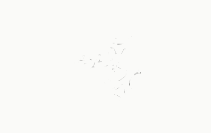 COc1ccc(C2(CC(=O)N(C)C(C)c3cc(C#N)cc4ccccc34)CCN(C(=O)OC(C)(C)C)CC2)cc1F